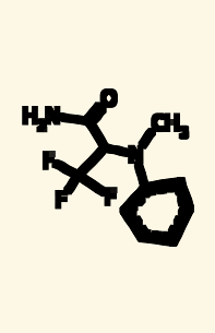 CN(c1ccccc1)C(C(N)=O)C(F)(F)F